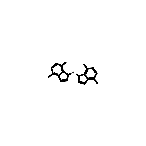 Cc1ccc(C)c2c1C=C[CH]2[Hf][CH]1C=Cc2c(C)ccc(C)c21